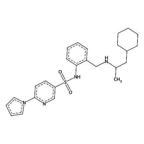 CC(CC1CCCCC1)NCc1ccccc1NS(=O)(=O)c1ccc(-n2cccc2)nc1